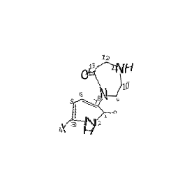 CC1NC(I)=CC=C1N1CCNCC1=O